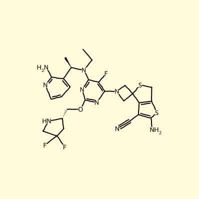 CCN(c1nc(OC[C@@H]2CC(F)(F)CN2)nc(N2CC3(C2)SCc2sc(N)c(C#N)c23)c1F)[C@H](C)c1cccnc1N